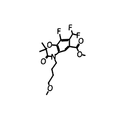 COCCCCN1C(=O)C(C)(C)Oc2c1cc(C(=O)OC)c(C(F)F)c2F